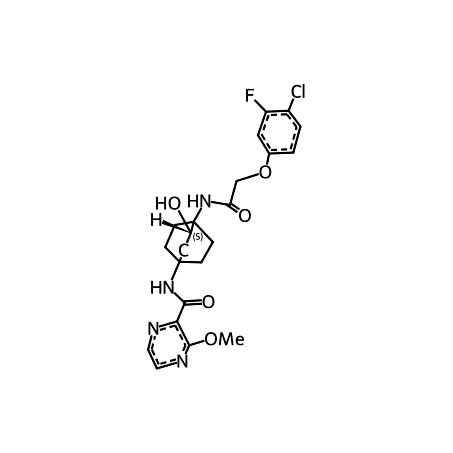 COc1nccnc1C(=O)NC12CCC(NC(=O)COc3ccc(Cl)c(F)c3)(CC1)[C@@H](O)C2